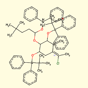 C=C1/C(=C(\C)Cl)CC(O[Si](c2ccccc2)(c2ccccc2)C(C)(C)C)C(OC(CCC(C)(C)C)O[SiH](c2ccccc2)c2ccccc2)C1O[Si](c1ccccc1)(c1ccccc1)C(C)(C)C